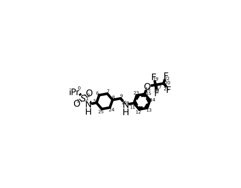 CC(C)S(=O)(=O)NC1CCC(CNc2cccc(OC(F)(F)C(F)F)c2)CC1